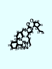 CCCCc1cn(C2C(=O)CCC2CC)c(=O)n1Cc1ccc(-c2ccccc2-c2nnn[nH]2)nc1